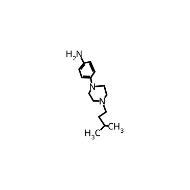 CC(C)CCN1CCN(c2ccc(N)cc2)CC1